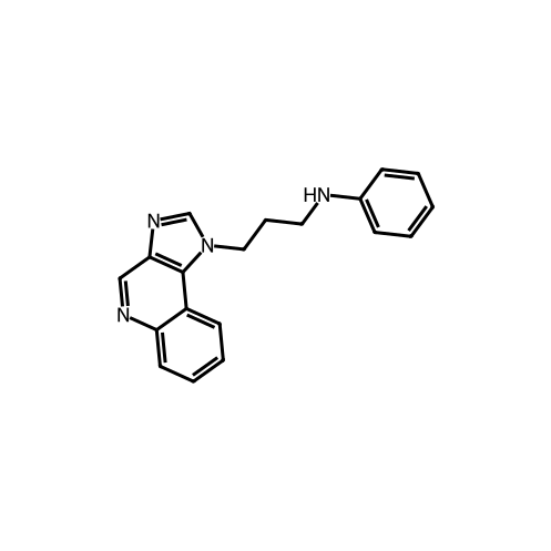 c1ccc(NCCCn2cnc3cnc4ccccc4c32)cc1